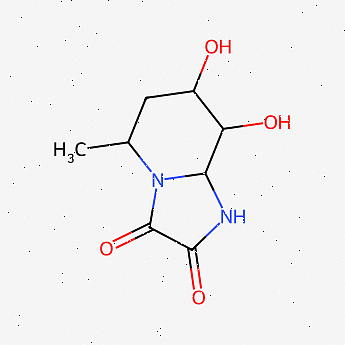 CC1CC(O)C(O)C2NC(=O)C(=O)N12